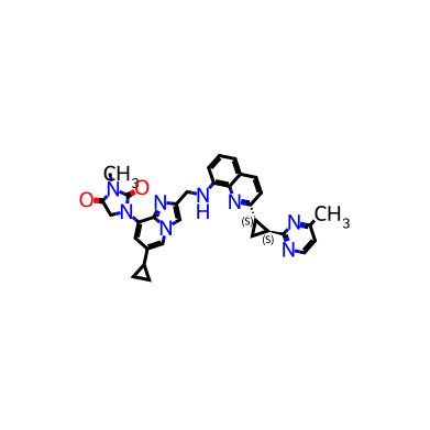 Cc1ccnc([C@H]2C[C@@H]2c2ccc3cccc(NCc4cn5cc(C6CC6)cc(N6CC(=O)N(C)C6=O)c5n4)c3n2)n1